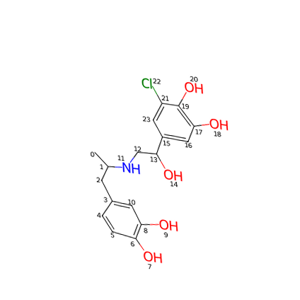 CC(Cc1ccc(O)c(O)c1)NCC(O)c1cc(O)c(O)c(Cl)c1